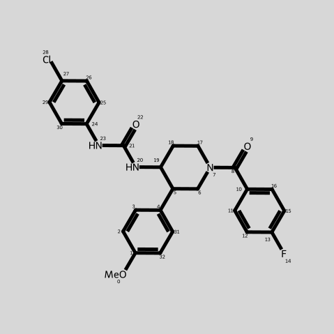 COc1ccc(C2CN(C(=O)c3ccc(F)cc3)CCC2NC(=O)Nc2ccc(Cl)cc2)cc1